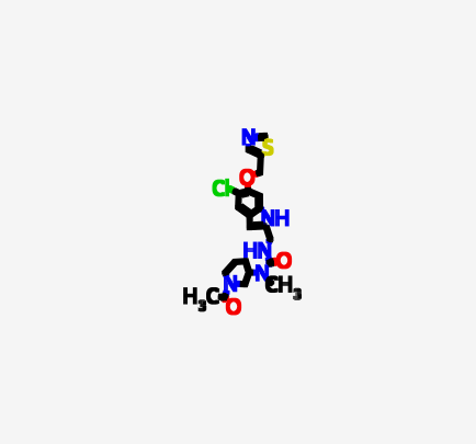 CC(=O)N1CCCC(N(C)C(=O)NCc2cc3cc(Cl)c(OCc4cncs4)cc3[nH]2)C1